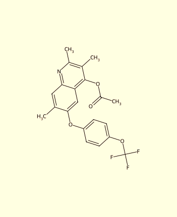 CC(=O)Oc1c(C)c(C)nc2cc(C)c(Oc3ccc(OC(F)(F)F)cc3)cc12